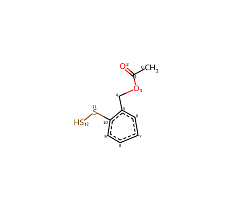 CC(=O)OCc1ccccc1SS